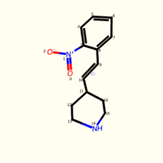 O=[N+]([O-])c1ccccc1/C=C/C1CCNCC1